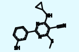 CSc1nc(-c2cccc(S)c2)nc(NC2CC2)c1C#N